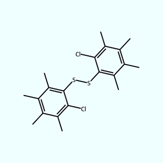 Cc1c(C)c(C)c(SSc2c(C)c(C)c(C)c(C)c2Cl)c(Cl)c1C